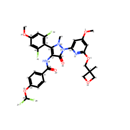 COc1cc(OCC2(C)COC2)nc(-n2c(=O)c(NC(=O)c3ccc(OC(F)F)cc3)c(-c3c(F)cc(OC)cc3F)n2C)c1